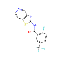 O=C(Nc1nc2cnccc2s1)c1cc(C(F)(F)F)ccc1F